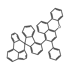 c1ccc(-c2cc3c4c(cccc4c2-c2cccc4c2-c2ccccc2C42c4ccccc4-c4cccc5cccc2c45)-c2ccccc2O3)cc1